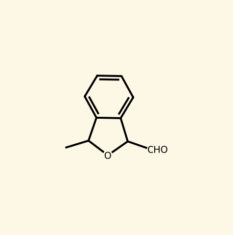 CC1OC(C=O)c2ccccc21